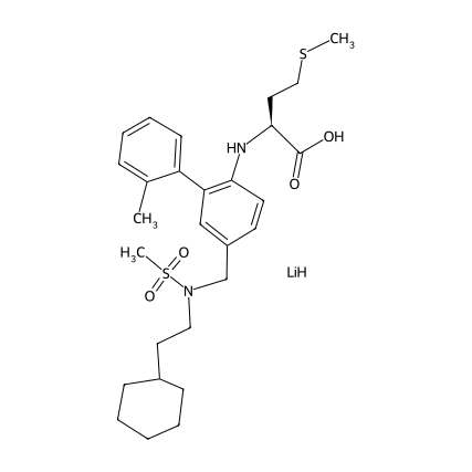 CSCC[C@H](Nc1ccc(CN(CCC2CCCCC2)S(C)(=O)=O)cc1-c1ccccc1C)C(=O)O.[LiH]